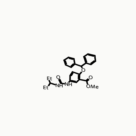 CCC(CC)NC(=O)Nc1ccc(OC(c2ccccc2)c2ccccc2)c(C(=O)OC)c1